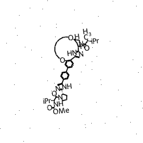 COC(=O)N[C@H](C(=O)N1CCC[C@H]1c1ncc(-c2ccc(-c3ccc4c(c3)OCCCCCCCCO[C@H]3C[C@@H](c5ncc-4[nH]5)N(C(=O)[C@@H](C)C(C)C)C3)cc2)[nH]1)C(C)C